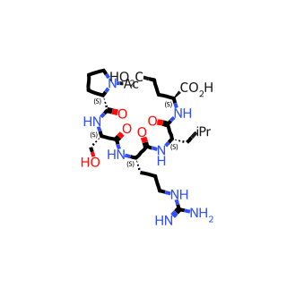 CC(=O)N1CCC[C@H]1C(=O)N[C@@H](CO)C(=O)N[C@@H](CCCNC(=N)N)C(=O)N[C@@H](CC(C)C)C(=O)N[C@@H](CCC(=O)O)C(=O)O